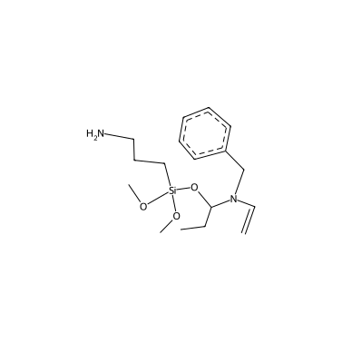 C=CN(Cc1ccccc1)C(CC)O[Si](CCCN)(OC)OC